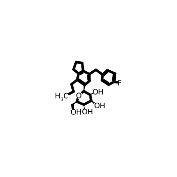 CCCc1c([C@@H]2O[C@H](CO)[C@@H](O)[C@H](O)[C@H]2O)cc(Cc2ccc(F)cc2)c2c1CCC2